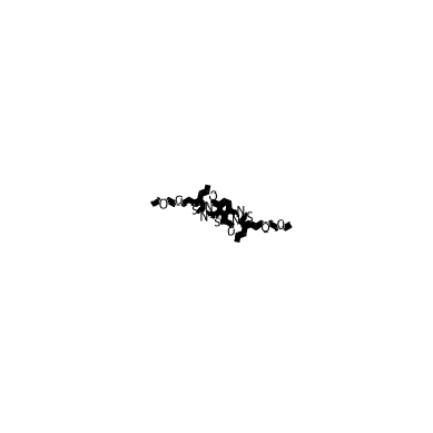 CCCc1c(CCOCCOCC)sc2nc3c4ccc5c(=O)n6c(nc7sc(CCOCCOCC)c(CCC)c76)c6sc(c(=O)n3c12)c4c56